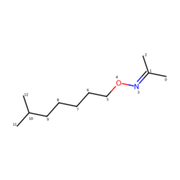 CC(C)=NOCCCCCC(C)C